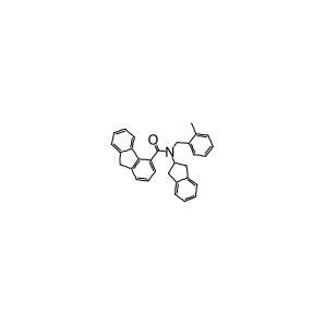 Cc1ccccc1CN(C(=O)c1cccc2c1-c1ccccc1C2)C1Cc2ccccc2C1